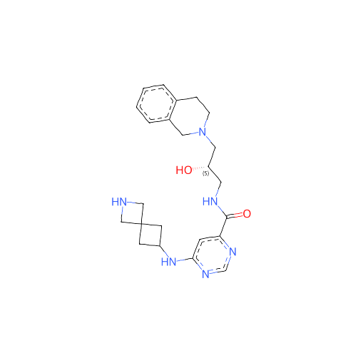 O=C(NC[C@H](O)CN1CCc2ccccc2C1)c1cc(NC2CC3(CNC3)C2)ncn1